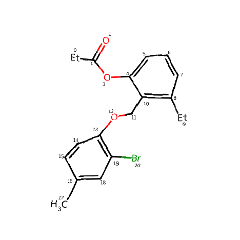 CCC(=O)Oc1cccc(CC)c1COc1ccc(C)cc1Br